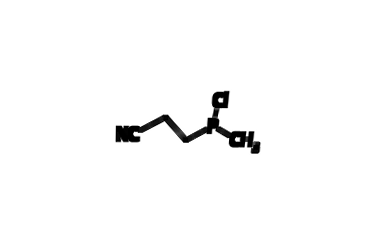 CP(Cl)CCC#N